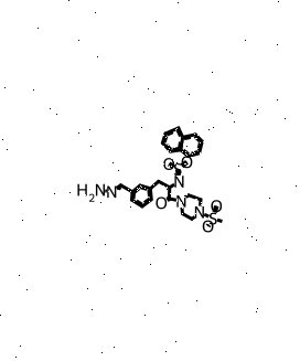 CS(=O)(=O)N1CCN(C(=O)C(Cc2cccc(C=NN)c2)N=S(=O)=O)CC1.c1ccc2ccccc2c1